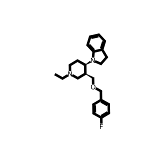 CCN1CC[C@@H](N2CCc3ccccc32)[C@@H](COCc2ccc(F)cc2)C1